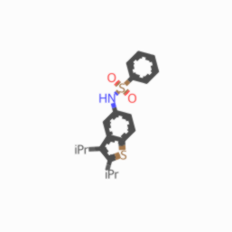 CC(C)c1sc2ccc(NS(=O)(=O)c3ccccc3)cc2c1C(C)C